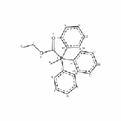 CCOC(=O)P(C)(c1ccccc1)(c1ccccc1)c1ccccc1